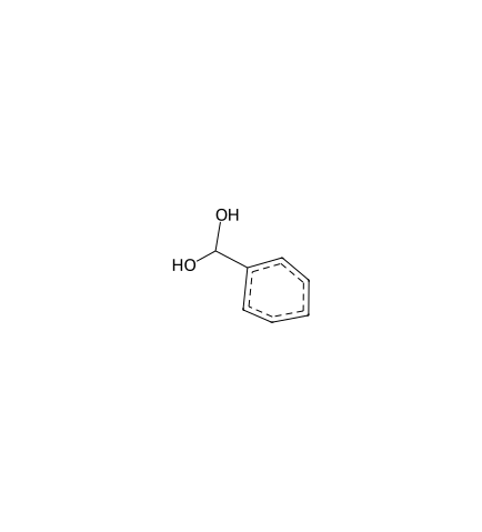 OC(O)c1ccccc1